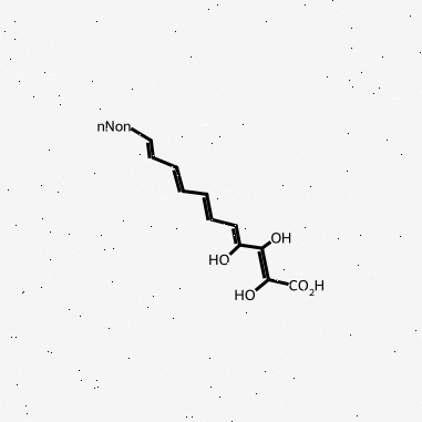 CCCCCCCCCC=CC=CC=CC=C(O)C(O)=C(O)C(=O)O